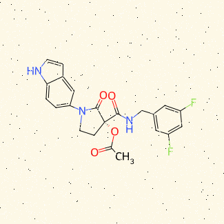 CC(=O)O[C@]1(C(=O)NCc2cc(F)cc(F)c2)CCN(c2ccc3[nH]ccc3c2)C1=O